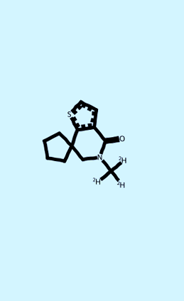 [2H]C([2H])([2H])N1CC2(CCCC2)c2sccc2C1=O